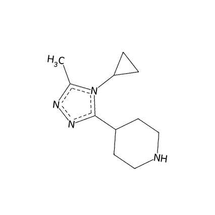 Cc1nnc(C2CCNCC2)n1C1CC1